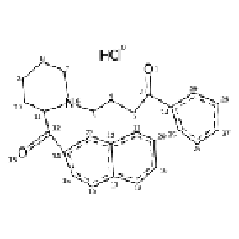 Cl.O=C(CCCN1CCCCC1C(=O)c1ccc2ccccc2c1)c1ccccc1